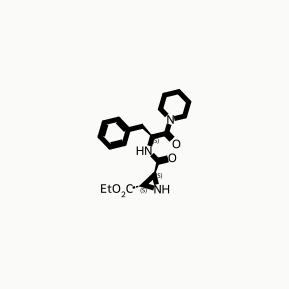 CCOC(=O)[C@H]1N[C@@H]1C(=O)N[C@@H](Cc1ccccc1)C(=O)N1CCCCC1